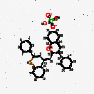 C1=C(c2ccccc2)Sc2ccccc2C1=Cc1[o+]c2ccccc2cc1-c1ccccc1.[O-][Cl+3]([O-])([O-])[O-]